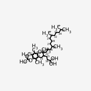 Cc1c(C)c2c(c(C)c1OC(=O)O)CC(CCC(O)O)C(C)(CCCC(C)CCCC(C)CCCC(C)C)O2